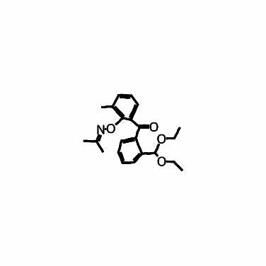 CCOC(OCC)c1ccccc1C(=O)c1cccc(C)c1ON=C(C)C